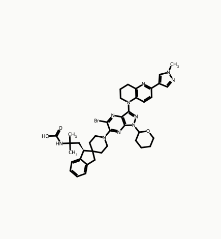 Cn1cc(-c2ccc3c(n2)CCCN3c2nn(C3CCCCO3)c3nc(N4CCC5(CC4)Cc4ccccc4[C@H]5CC(C)(C)NC(=O)O)c(Br)nc23)cn1